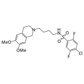 COc1cc2c(cc1OC)CN(CCCCNS(=O)(=O)c1cc(F)c(Cl)cc1F)CC2